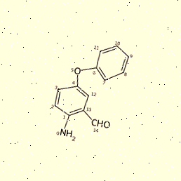 Nc1ccc(Oc2ccccc2)cc1C=O